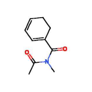 CC(=O)N(C)C(=O)C1=CC=CCC1